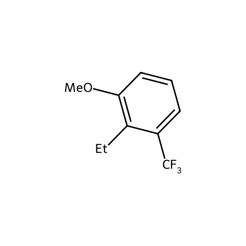 CCc1c(OC)cccc1C(F)(F)F